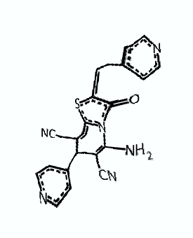 N#CC1=C(N)n2c(s/c(=C/c3ccncc3)c2=O)=C(C#N)C1c1ccncc1